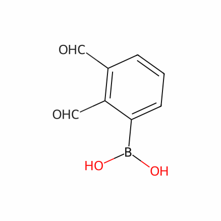 O=Cc1cccc(B(O)O)c1C=O